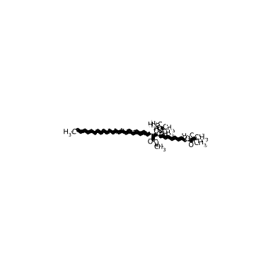 CCCCCCCCCCCCCCCCCCCCCCCC[C@@H](C(=O)OC)[C@@H](CCCCCCCCCOC(=O)C(C)(C)C)O[Si](C)(C)C(C)(C)C